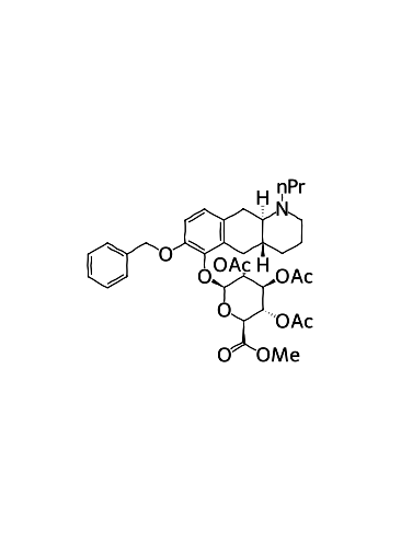 CCCN1CCC[C@@H]2Cc3c(ccc(OCc4ccccc4)c3O[C@@H]3O[C@H](C(=O)OC)[C@@H](OC(C)=O)[C@H](OC(C)=O)[C@H]3OC(C)=O)C[C@H]21